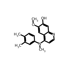 COc1cc2c(N(C)c3ccc(C)c(C)c3)ccnc2cc1O